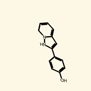 Oc1ccc(C2=CC3=CC=CCN3N2)cc1